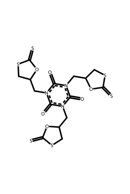 O=c1n(CC2CSC(=S)O2)c(=O)n(CC2CSC(=S)O2)c(=O)n1CC1CSC(=S)O1